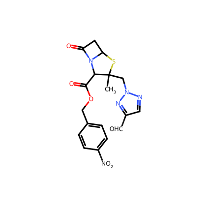 CC1(Cn2ncc(C=O)n2)SC2CC(=O)N2C1C(=O)OCc1ccc([N+](=O)[O-])cc1